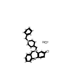 Cl.Clc1ccc2c(c1)N(CC1CCN(Cc3ccccc3)CC1)Cc1ccccc1S2